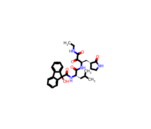 CCNC(=O)C(=O)[C@@H](C[C@H]1CCNC1=O)NC(=O)[C@H](CC(C)C)NC(=O)C1(O)c2ccccc2-c2ccccc21